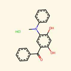 CN(c1ccccc1)c1cc(C(=O)c2ccccc2)c(O)cc1O.Cl